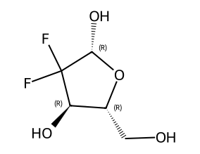 OC[C@H]1O[C@@H](O)C(F)(F)[C@@H]1O